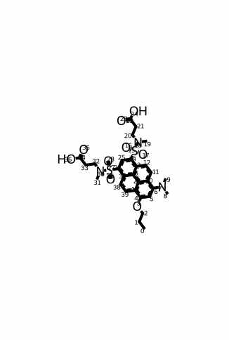 CCCOc1cc(N(C)C)c2ccc3c(S(=O)(=O)N(C)CCC(=O)O)cc(S(=O)(=O)N(C)CCC(=O)O)c4ccc1c2c43